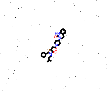 CC(C)CCN1C(=O)C(CC(=O)N2CCC(N3CCc4ccccc4NC3=O)CC2)SC1C1CCCCC1